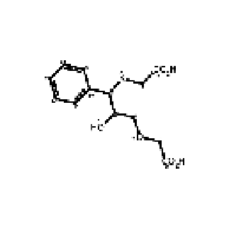 O=C(O)COCC(O)C(SCC(=O)O)c1ccccc1